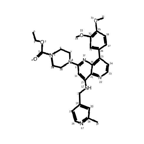 CCOC(=O)N1CCN(c2cc(NCc3ccnc(C)c3)c3nccc(-c4ccc(OC)c(OC)c4)c3n2)CC1